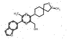 Cc1nc(N2CCC3(CC2)CO[C@@H](C)C3)c(CO)nc1-c1ccc2ccoc2c1